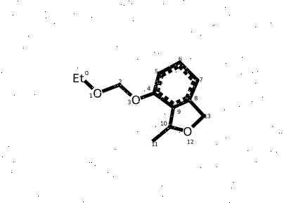 CCOCOc1cccc2c1C(C)OC2